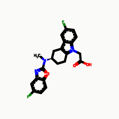 CN(c1nc2cc(F)ccc2o1)[C@H]1CCc2c(c3cc(F)ccc3n2CC(=O)O)C1